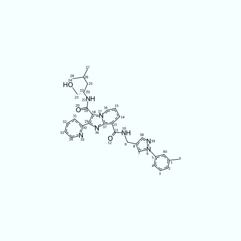 Cc1cccc(-n2cc(CNC(=O)c3cccn4c(C(=O)N[C@H](CO)CC(C)C)c(-c5ccccn5)nc34)cn2)c1